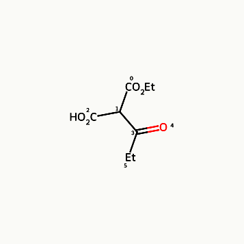 CCOC(=O)C(C(=O)O)C(=O)CC